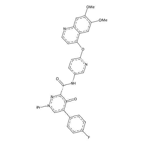 COc1cc2nccc(Oc3ccc(NC(=O)c4nn(C(C)C)cc(-c5ccc(F)cc5)c4=O)cn3)c2cc1OC